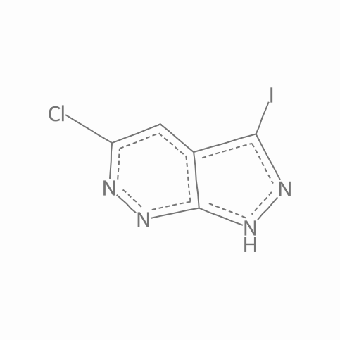 Clc1cc2c(I)n[nH]c2nn1